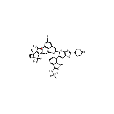 Cn1nc(NS(C)(=O)=O)c2cccc(-c3cc4sc(N5CCNCC5)nc4nc3/C(=C/c3cc(F)cc(F)c3)NC(=O)Cn3nc(C(F)(F)F)c4c3C(F)(F)[C@@H]3C#C[C@H]43)c21